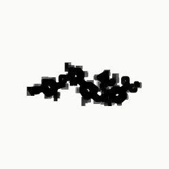 COC(=O)c1ccc2nc(Cc3ccc(-c4ccc(F)c(OCc5ccc(C#N)cc5F)n4)cc3F)n(CC3(CF)CC3)c2c1